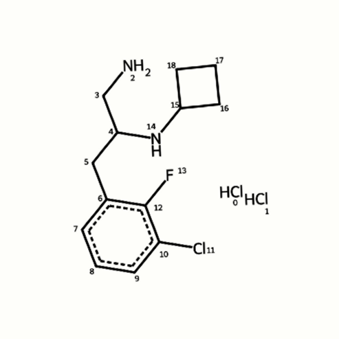 Cl.Cl.NCC(Cc1cccc(Cl)c1F)NC1CCC1